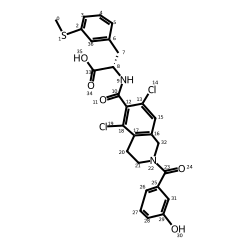 CSc1cccc(C[C@H](NC(=O)c2c(Cl)cc3c(c2Cl)CCN(C(=O)c2cccc(O)c2)C3)C(=O)O)c1